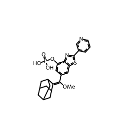 COC(=C1C2CC3CC(C2)CC1C3)c1cc(OP(=O)(O)O)c2nc(-c3cccnc3)sc2c1